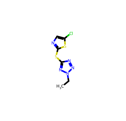 CCn1nnc(Sc2ncc(Cl)s2)n1